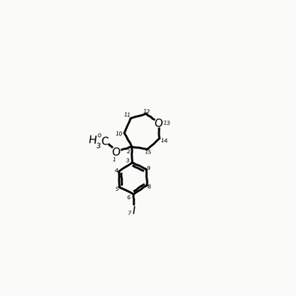 COC1(c2ccc(I)cc2)CCCOCC1